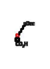 CCCCCCCCCCCCCCCCCOc1ccc(C(=O)O)cc1